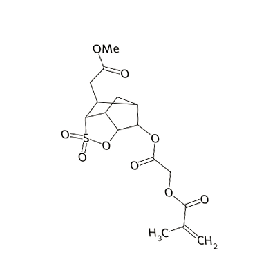 C=C(C)C(=O)OCC(=O)OC1C2CC3C1OS(=O)(=O)C3C2CC(=O)OC